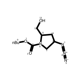 CCCCOC(=O)N1CC(N=[N+]=[N-])CC1CO